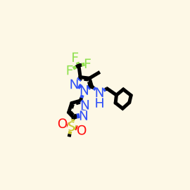 Cc1c(C(F)(F)F)nn(-c2ccc(S(C)(=O)=O)nn2)c1NCC1CCCCC1